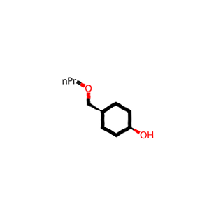 CCCOC[C@H]1CC[C@@H](O)CC1